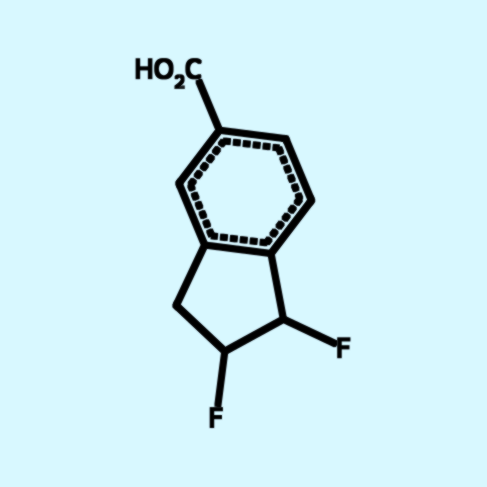 O=C(O)c1ccc2c(c1)CC(F)C2F